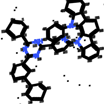 c1ccc(C2=NC(c3cccc(-c4ccccc4)c3)=NC(c3ccc(-n4c5ccccc5c5ccc6c7ccccc7n(-c7ccccc7)c6c54)nc3)N2)cc1